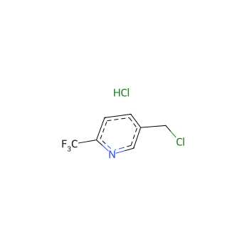 Cl.FC(F)(F)c1ccc(CCl)cn1